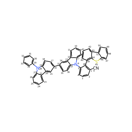 N#Cc1cccc(-n2c3ccccc3c3cc(-c4ccc5c(c4)c4ccccc4n5-c4ccccc4)ccc32)c1-c1cccc2c1sc1ccccc12